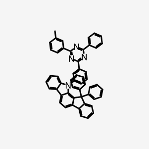 Cc1cccc(-c2nc(-c3ccccc3)nc(-c3cccc(-n4c5ccccc5c5ccc6c(c54)C(c4ccccc4)(c4ccccc4)c4ccccc4-6)c3)n2)c1